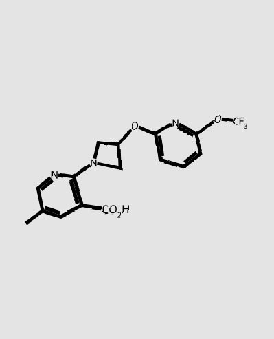 Cc1cnc(N2CC(Oc3cccc(OC(F)(F)F)n3)C2)c(C(=O)O)c1